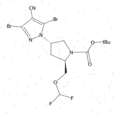 CC(C)(C)OC(=O)N1C[C@@H](n2nc(Br)c(C#N)c2Br)C[C@@H]1COC(F)F